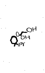 CC(C)C1(C)CCCC(OC(O)CCO)C1